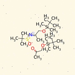 C/C(CO[Si](C)(C)C(C)(C)C)=N\[S+]([O-])C(C)(C)C.CC(=O)CO[Si](C)(C)C(C)(C)C